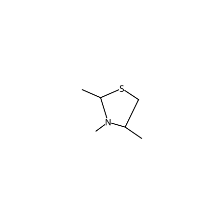 CC1CSC(C)N1C